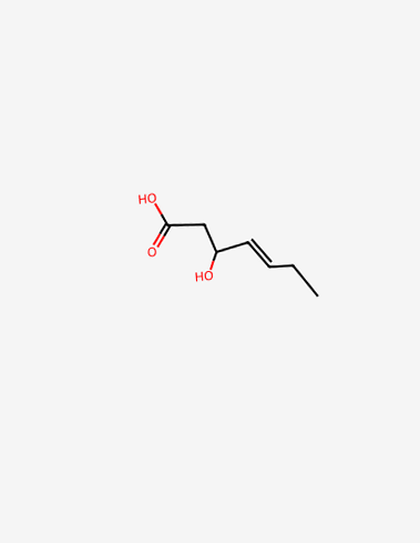 CC/C=C/C(O)CC(=O)O